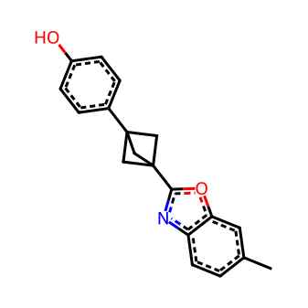 Cc1ccc2nc(C34CC(c5ccc(O)cc5)(C3)C4)oc2c1